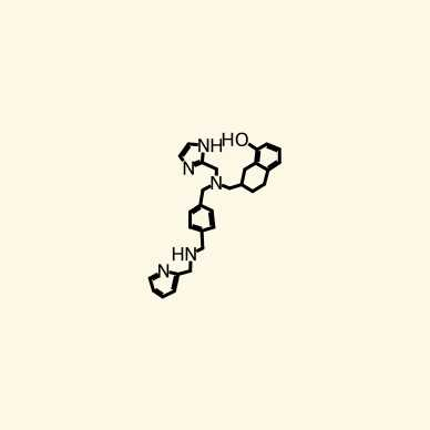 Oc1cccc2c1CC(CN(Cc1ccc(CNCc3ccccn3)cc1)Cc1ncc[nH]1)CC2